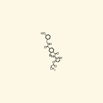 C=CC(=O)ON1C=CNN1NC(=O)c1ccc(C(=O)NCc2cccc(O)c2)cc1Br